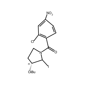 CC(C)CO[C@@H]1CCN(C(=O)c2ccc([N+](=O)[O-])cc2Cl)C1I